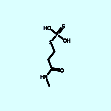 CNC(=O)CCSP(O)(O)=S